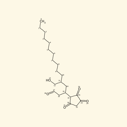 CCCCCCCCCCCC(CO)CC(CC=O)C1C(=O)CC(=O)C1=O